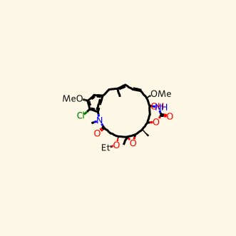 CCO[C@H]1CC(=O)N(C)c2cc(cc(OC)c2Cl)C/C(C)=C/C=C/[C@@H](OC)[C@@]2(O)CC(OC(=O)N2)[C@@H](C)C2OC21C